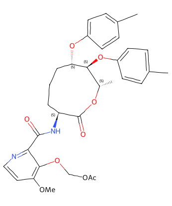 COc1ccnc(C(=O)N[C@H]2CCC[C@H](Oc3ccc(C)cc3)[C@@H](Oc3ccc(C)cc3)[C@H](C)OC2=O)c1OCOC(C)=O